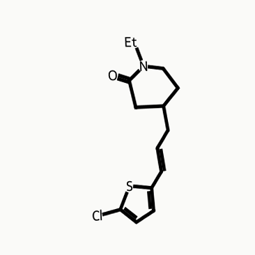 CCN1CCC(C/C=C/c2ccc(Cl)s2)CC1=O